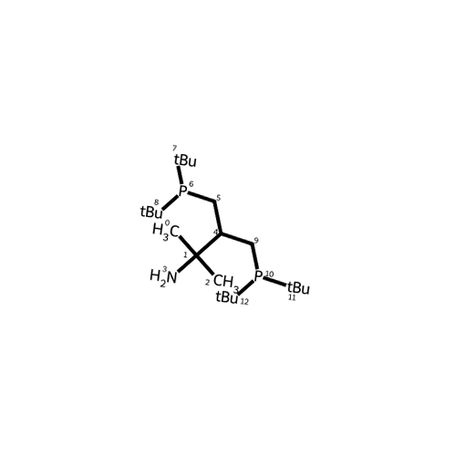 CC(C)(N)C(CP(C(C)(C)C)C(C)(C)C)CP(C(C)(C)C)C(C)(C)C